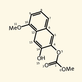 COC(=O)Oc1cc2cccc(OC)c2cc1O